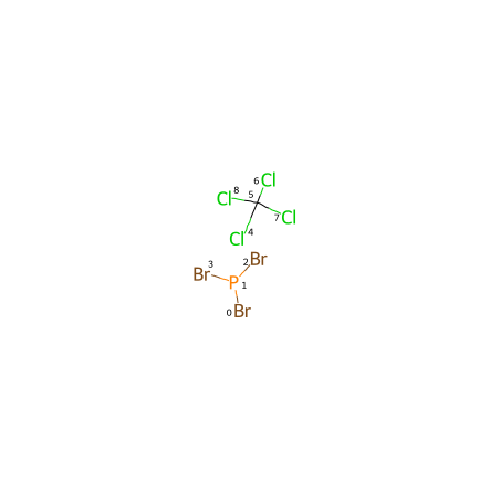 BrP(Br)Br.ClC(Cl)(Cl)Cl